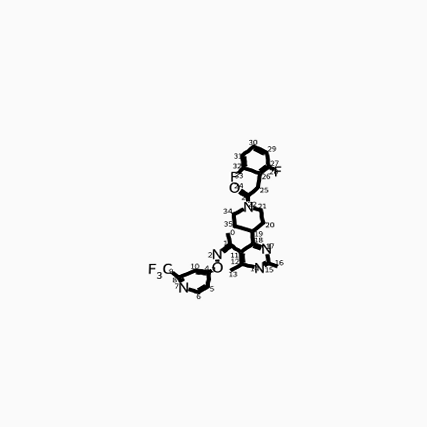 CC(=NOc1ccnc(C(F)(F)F)c1)c1c(C)nc(C)nc1C1CCN(C(=O)Cc2c(F)cccc2F)CC1